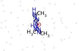 CC[C@H]1CN(c2cnc(C(=O)Nc3cn4cc(C)nc4c(C)n3)cn2)CCN1